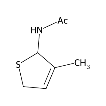 CC(=O)NC1SCC=C1C